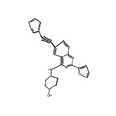 OC1CCC(Nc2nc(-c3ccco3)nc3ccc(C#Cc4ccccc4)cc23)CC1